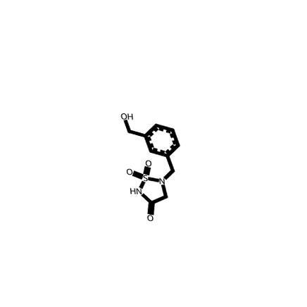 O=C1CN(Cc2cccc(CO)c2)S(=O)(=O)N1